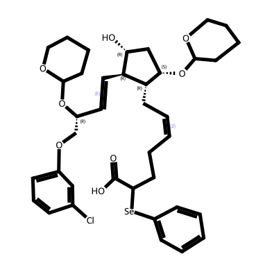 O=C(O)C(CC/C=C\C[C@@H]1[C@@H](/C=C/[C@H](COc2cccc(Cl)c2)OC2CCCCO2)[C@H](O)C[C@@H]1OC1CCCCO1)[Se]c1ccccc1